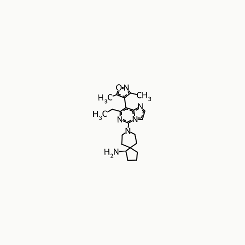 CCc1nc(N2CCC3(CCC[C@H]3N)CC2)n2ccnc2c1-c1c(C)noc1C